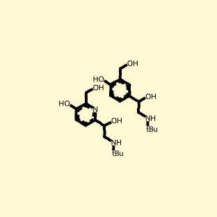 CC(C)(C)NCC(O)c1ccc(O)c(CO)c1.CC(C)(C)NCC(O)c1ccc(O)c(CO)n1